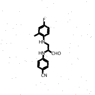 Cc1cc(F)ccc1NCC(C=O)Nc1ccc(C#N)cc1